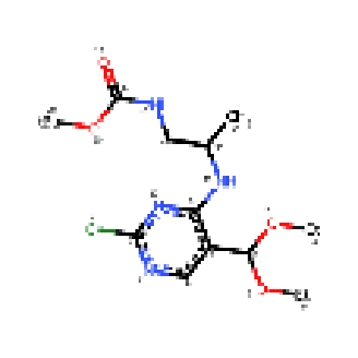 CCOC(OCC)c1cnc(Cl)nc1NC(C)CNC(=O)OC(C)(C)C